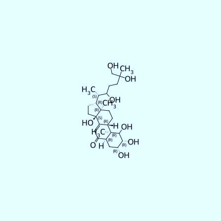 C[C@H](C(O)CCC(C)(O)CO)[C@H]1CC[C@@]2(O)C3=CC(=O)[C@@H]4C[C@@H](O)[C@@H](O)C(O)[C@]4(C)[C@H]3CC[C@]12C